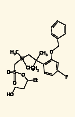 CCC(CCO)OS(=O)(=O)C[Si](C)(C)CC(C)(C)c1ccc(F)cc1OCc1ccccc1